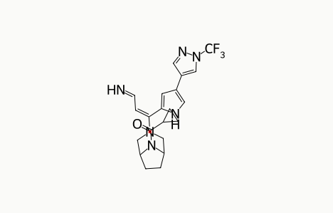 N=C/C=C(\c1cc(-c2cnn(C(F)(F)F)c2)c[nH]1)N1CC2CCC(C1)N2C(=O)C1CC1